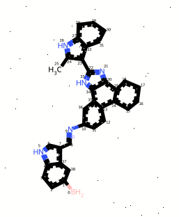 Bc1ccc2[nH]cc(/C=N/c3ccc4c5ccccc5c5nc(-c6c(C)[nH]c7ccccc67)[nH]c5c4c3)c2c1